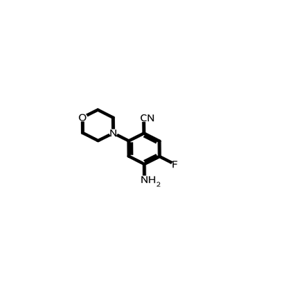 N#Cc1cc(F)c(N)cc1N1CCOCC1